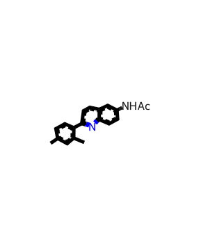 CC(=O)Nc1ccc2nc(-c3ccc(C)cc3C)ccc2c1